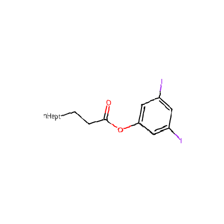 CCCCCCCCCC(=O)Oc1cc(I)cc(I)c1